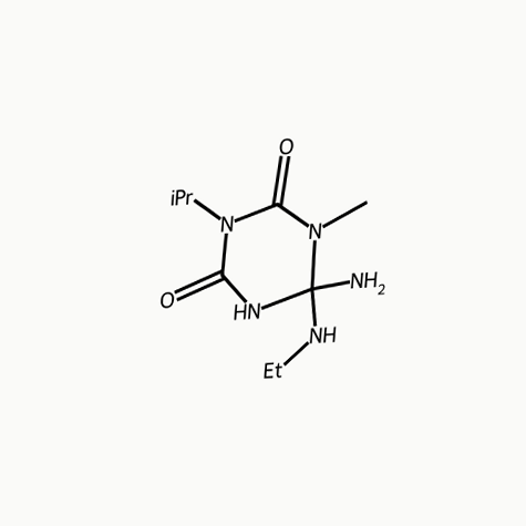 CCNC1(N)NC(=O)N(C(C)C)C(=O)N1C